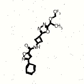 CC(OCC(F)(F)F)c1nnc(C2CC(NC(=O)c3cc(-c4ccccc4)no3)C2)o1